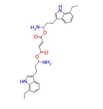 CCc1cccc2c(CCC(N)OC(=O)/C=C/C(=O)OC(N)CCc3c[nH]c4c(CC)cccc34)c[nH]c12